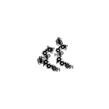 C[C@@H]1CN(Cc2cccc(C(=O)NCc3ccc(F)c(-c4cccc(CN5CCN[C@@H](C)C5)c4)c3)c2)[C@@H](C)C[N+]1(C)C.C[C@@H]1CN(Cc2cccc(C(=O)NCc3ccc(F)c(-c4cccc(CN5CCN[C@@H](C)C5)c4)c3)c2)[C@@H](C)C[N+]1(C)C.O=C([O-])C(F)(F)F.O=C([O-])C(F)(F)F